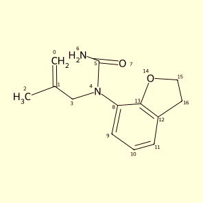 C=C(C)CN(C(N)=O)c1cccc2c1OCC2